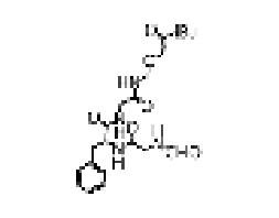 CCC(C)C(=O)COCNC(=O)CNC(=O)C(Cc1ccccc1)NC(=O)CNC=O